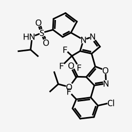 CC(C)NS(=O)(=O)c1cccc(-n2ncc(-c3onc(-c4c(F)cccc4Cl)c3C(=O)OC(C)C)c2C(F)(F)F)c1